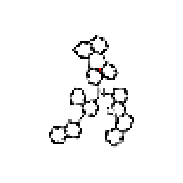 c1ccc(-c2cccc3cccc(-c4ccc(N(c5ccc(-c6ccc7ccccc7c6)c6ccccc56)c5cccc6c5oc5c7ccccc7ccc65)cc4)c23)cc1